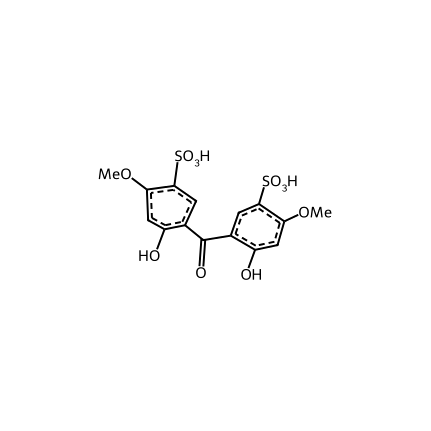 COc1cc(O)c(C(=O)c2cc(S(=O)(=O)O)c(OC)cc2O)cc1S(=O)(=O)O